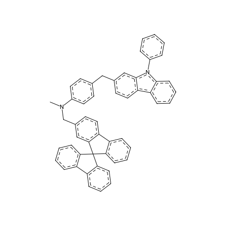 CN(Cc1ccc2c(c1)C1(c3ccccc3-c3ccccc31)c1ccccc1-2)c1ccc(Cc2ccc3c4ccccc4n(-c4ccccc4)c3c2)cc1